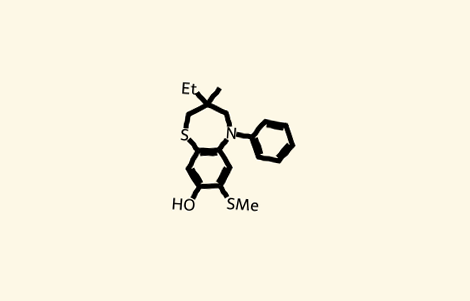 CCC1(C)CSc2cc(O)c(SC)cc2N(c2ccccc2)C1